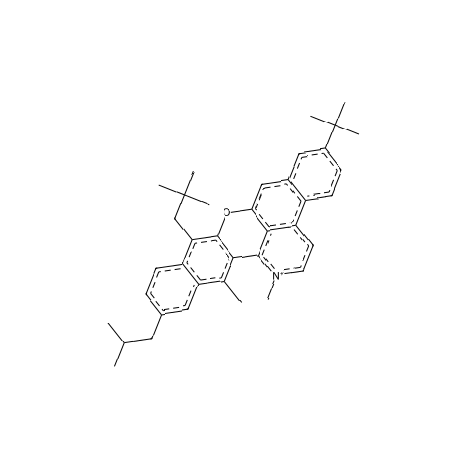 Cc1c2c(c(CC(C)(C)C)c3ccc(CC(C)C)cc13)Oc1cc3cc(C(C)(C)C)ccc3c3cc[n+](C)c-2c13